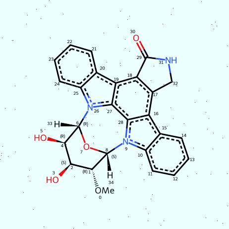 CO[C@@H]1[C@@H](O)[C@@H](O)[C@H]2O[C@@H]1n1c3ccccc3c3c4c(c5c6ccccc6n2c5c31)C(=O)NC4